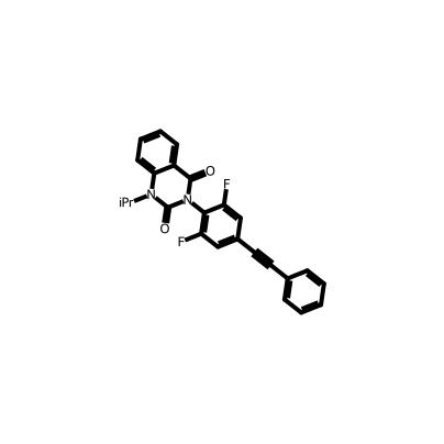 CC(C)n1c(=O)n(-c2c(F)cc(C#Cc3ccccc3)cc2F)c(=O)c2ccccc21